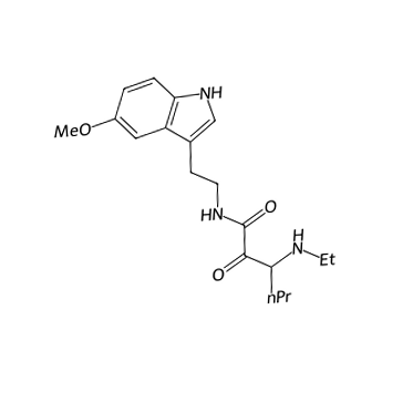 CCCC(NCC)C(=O)C(=O)NCCc1c[nH]c2ccc(OC)cc12